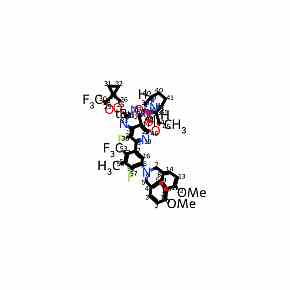 COc1ccc(CN(Cc2ccc(OC)cc2)c2cc(-c3nc4c5c(nc(OCC6(C(=O)C(F)(F)F)CC6)nc5c3F)N3C[C@H]5CC[C@@H]([C@H]3[C@H](C)O4)N5C(=O)OC(C)(C)C)c(C(F)(F)F)c(C)c2F)cc1